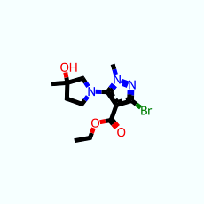 CCOC(=O)c1c(Br)nn(C)c1N1CCC(C)(O)C1